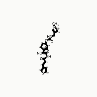 Cn1cc(CNC(=O)OC2CCc3c(sc(NC(=O)C=Cc4ccsc4)c3C#N)C2)cn1